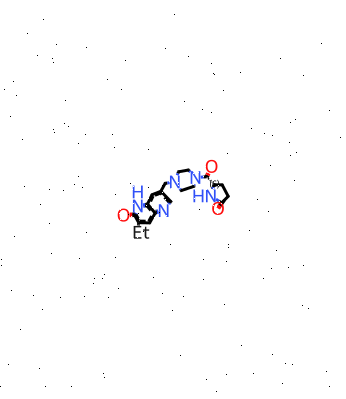 CCc1cc2ncc(CN3CCN(C(=O)[C@@H]4CCC(=O)N4)CC3)cc2[nH]c1=O